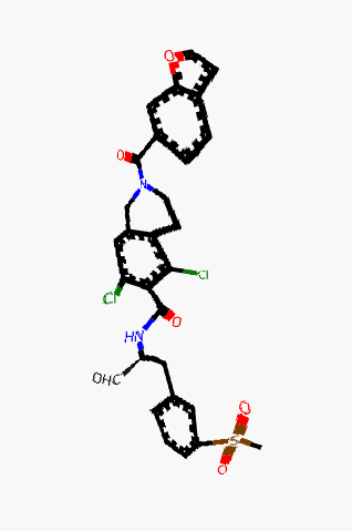 CS(=O)(=O)c1cccc(C[C@@H](C=O)NC(=O)c2c(Cl)cc3c(c2Cl)CCN(C(=O)c2ccc4ccoc4c2)C3)c1